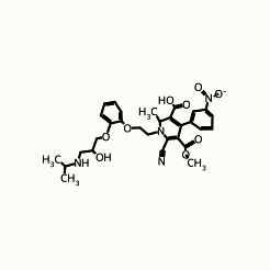 COC(=O)C1=C(C#N)N(CCOc2ccccc2OCC(O)CNC(C)C)C(C)C(C(=O)O)=C1c1cccc([N+](=O)[O-])c1